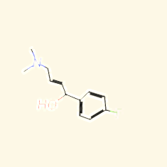 CN(C)C/C=C/C(O)c1ccc(F)cc1